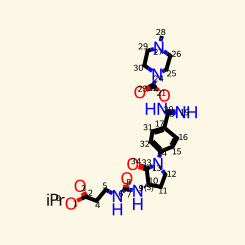 CC(C)OC(=O)CCNC(=O)N[C@H]1CCN(c2ccc(C(=N)NOC(=O)N3CCN(C)CC3)cc2)C1=O